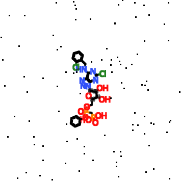 O=P(O)(O)CP(=O)(OC[C@H]1O[C@@H](n2nnc3c(NCc4ccccc4Cl)nc(Cl)nc32)[C@H](O)[C@@H]1O)Oc1ccccc1